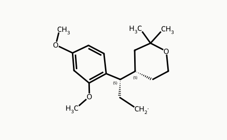 [CH2]C[C@H](c1ccc(OC)cc1OC)[C@H]1CCOC(C)(C)C1